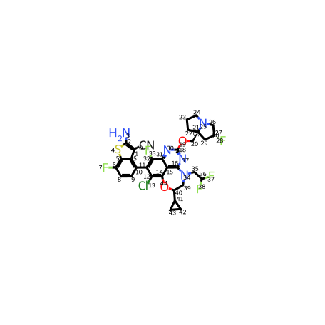 N#Cc1c(N)sc2c(F)ccc(-c3c(Cl)c4c5c(nc(OC[C@@]67CCCN6C[C@H](F)C7)nc5c3F)N(CC(F)F)CC(C3CC3)O4)c12